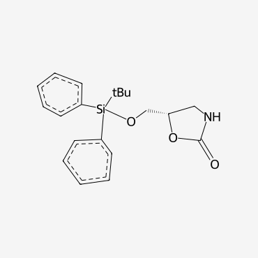 CC(C)(C)[Si](OC[C@@H]1CNC(=O)O1)(c1ccccc1)c1ccccc1